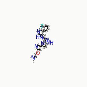 CN(C)CCOc1cncc(-c2ccc3[nH]nc(-c4cc5c(-c6ccccc6F)cncc5[nH]4)c3n2)c1